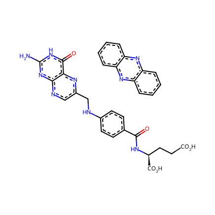 Nc1nc2ncc(CNc3ccc(C(=O)N[C@@H](CCC(=O)O)C(=O)O)cc3)nc2c(=O)[nH]1.c1ccc2nc3ccccc3nc2c1